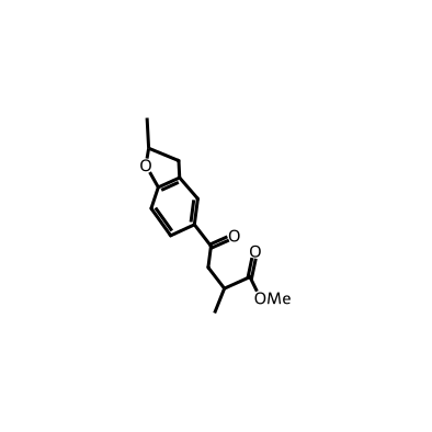 COC(=O)C(C)CC(=O)c1ccc2c(c1)CC(C)O2